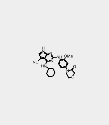 COc1cc(N2CCOCC2=O)ccc1Nc1nc(NC2CCCCC2)c2c(C#N)c[nH]c2n1